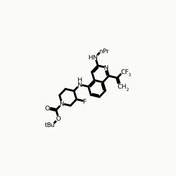 C=C(c1nc(NCCC)cc2c(NC3CCN(C(=O)OC(C)(C)C)CC3F)cccc12)C(F)(F)F